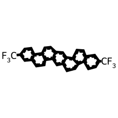 FC(F)(F)c1ccc2c(ccc3c4cc5ccc6c7ccc(C(F)(F)F)cc7ccc6c5cc4ccc23)c1